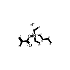 C=C(C)C(=O)O[N+](CC)(CC)CCCC.[I-]